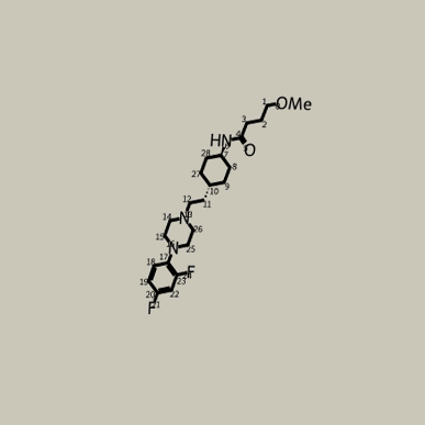 COCCCC(=O)N[C@H]1CC[C@H](CCN2CCN(c3ccc(F)cc3F)CC2)CC1